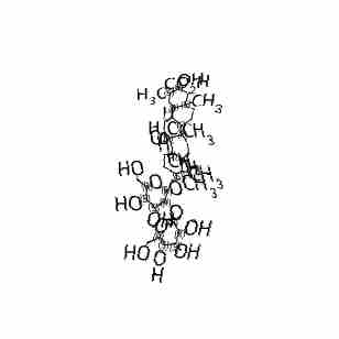 CC1(C)[C@@H](O[C@@H]2O[C@H](CO)[C@@H](O)[C@H](O)[C@H]2O[C@@H]2O[C@H](CO)[C@@H](O)[C@H](O)[C@H]2O)CC[C@]2(C)[C@H]3C(=O)C=C4[C@@H]5C[C@](C)(C(=O)O)[C@H](O)C[C@]5(C)CC[C@@]4(C)[C@]3(C)CC[C@@H]12